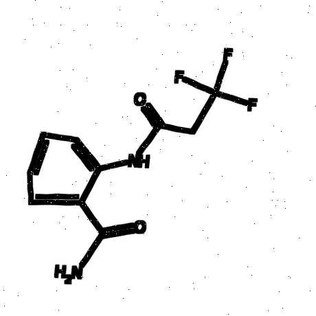 NC(=O)c1ccccc1NC(=O)CC(F)(F)F